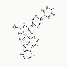 CC1(c2cccc3c2oc2ccccc23)N=C(c2ccc(-c3ccccc3)cc2)N=C(N)N1